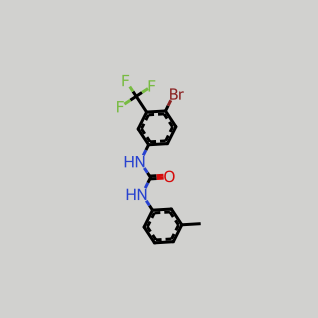 Cc1cccc(NC(=O)Nc2ccc(Br)c(C(F)(F)F)c2)c1